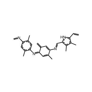 C=Cc1[nH]c(C=NC2=CC(=C)/C(=N\c3cc(C)c(N=C)cc3C)C=C2C)c(C)c1C